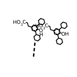 C=C.C=C.C=C.O=C(O)CCc1cc(C2CCCCC2)c(O)c(C2CCCCC2)c1.O=C(O)CCc1cc(C2CCCCC2)c(O)c(C2CCCCC2)c1